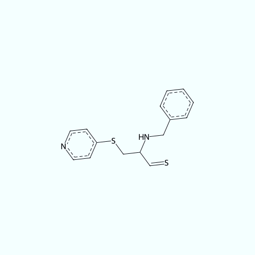 S=CC(CSc1ccncc1)NCc1ccccc1